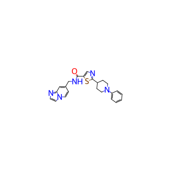 O=C(NCc1ccn2ccnc2c1)c1cnc(C2CCN(c3ccccc3)CC2)s1